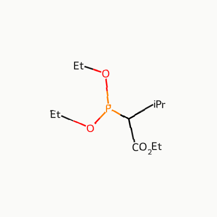 CCOC(=O)C(C(C)C)P(OCC)OCC